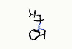 Cc1cn(C(C)(C)CC(C)(C)C(C)C)c2ccccc12